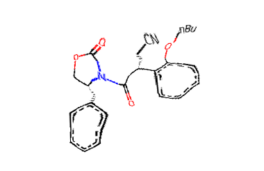 CCCCOc1ccccc1[C@@H](CC#N)C(=O)N1C(=O)OC[C@H]1c1ccccc1